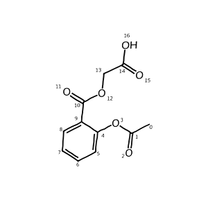 CC(=O)Oc1ccccc1C(=O)OCC(=O)O